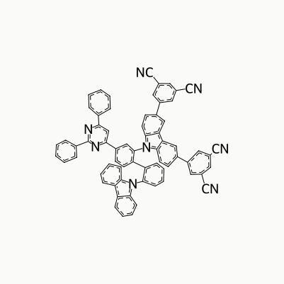 N#Cc1cc(C#N)cc(-c2ccc3c(c2)c2cc(-c4cc(C#N)cc(C#N)c4)ccc2n3-c2cc(-c3cc(-c4ccccc4)nc(-c4ccccc4)n3)ccc2-c2ccccc2-n2c3ccccc3c3ccccc32)c1